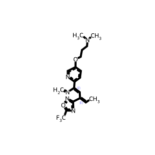 C=N/C(=C\C(=C/C)c1noc(C(F)(F)F)n1)c1ccc(OCCCN(C)C)cn1